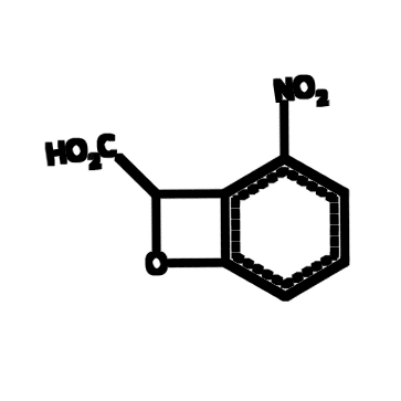 O=C(O)C1Oc2cccc([N+](=O)[O-])c21